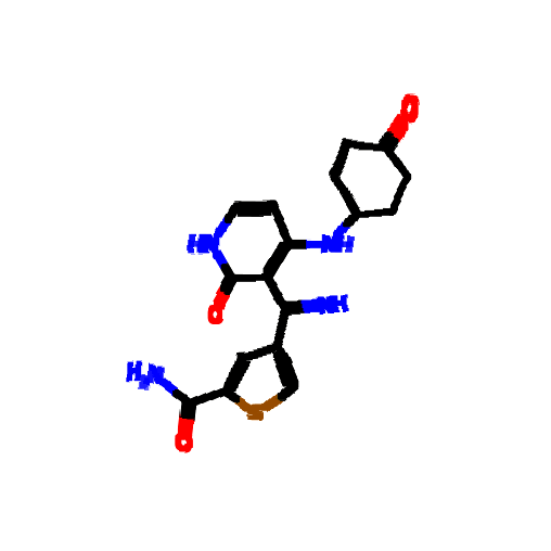 N=C(c1csc(C(N)=O)c1)c1c(NC2CCC(=O)CC2)cc[nH]c1=O